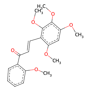 COc1ccccc1C(=O)C=Cc1c(OC)cc(OC)c(OC)c1OC